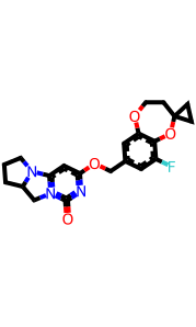 O=c1nc(OCc2cc(F)c3c(c2)OCCC2(CC2)O3)cc2n1CC1CCCN21